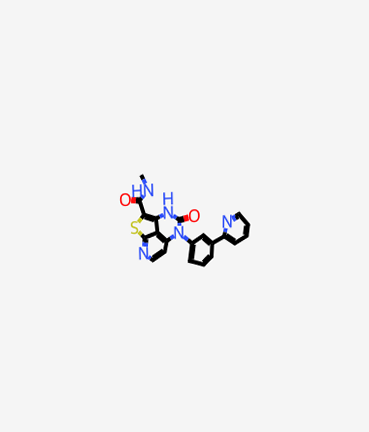 CNC(=O)c1sc2nccc3c2c1NC(=O)N3c1cccc(-c2ccccn2)c1